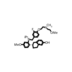 COCCN(C)CCOc1ccc(CN(c2cc(OC)ccc2[C@H]2CCc3cc(O)ccc3C2)C(C)C)cc1F